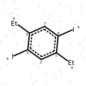 CCc1cc(I)c(CC)cc1I